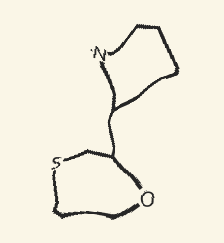 C1CC(C2OCCS2)[N]1